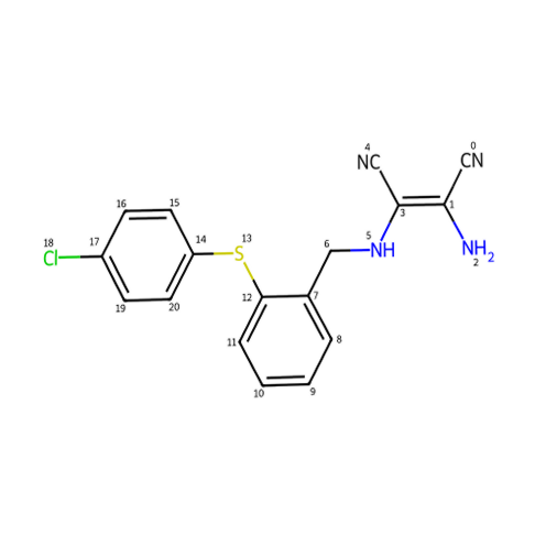 N#C/C(N)=C(\C#N)NCc1ccccc1Sc1ccc(Cl)cc1